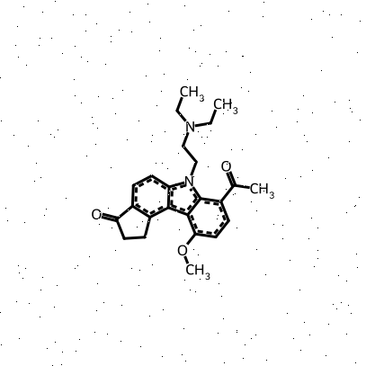 CCN(CC)CCn1c2ccc3c(c2c2c(OC)ccc(C(C)=O)c21)CCC3=O